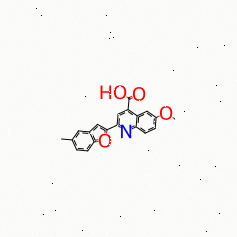 COc1ccc2nc(-c3cc4cc(C)ccc4o3)cc(C(=O)O)c2c1